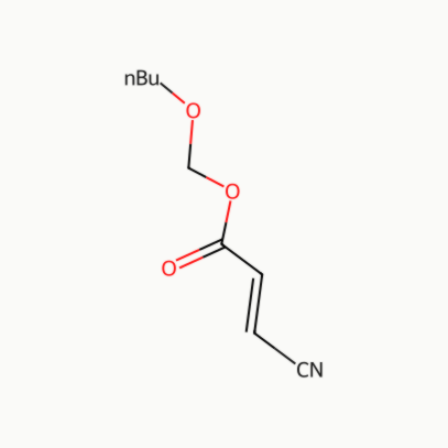 CCCCOCOC(=O)C=CC#N